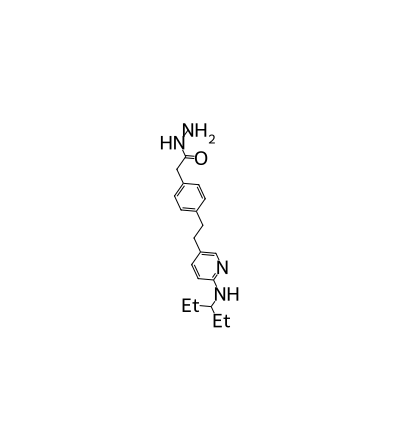 CCC(CC)Nc1ccc(CCc2ccc(CC(=O)NN)cc2)cn1